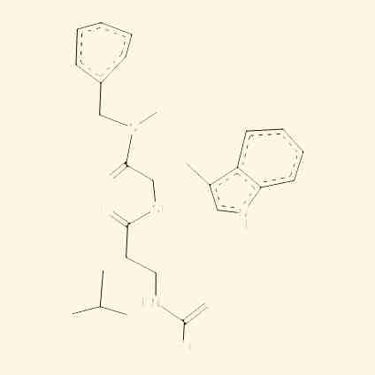 CC(C)C[C@@H](CNC(=O)O)C(=O)N[C@@H](Cc1c[nH]c2ccccc12)C(=O)N(C)Cc1ccccc1